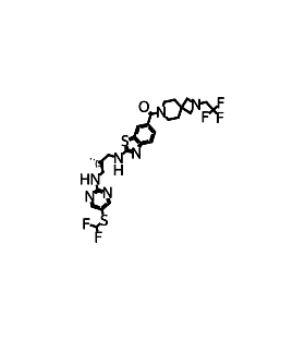 C[C@@H](CNc1ncc(SC(F)F)cn1)CNc1nc2ccc(C(=O)N3CCC4(CC3)CN(CC(F)(F)F)C4)cc2s1